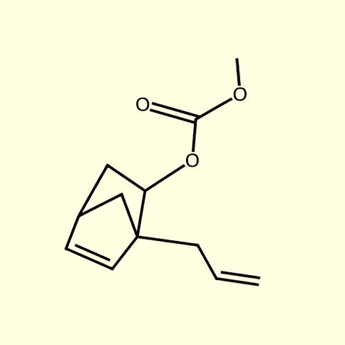 C=CCC12C=CC(CC1OC(=O)OC)C2